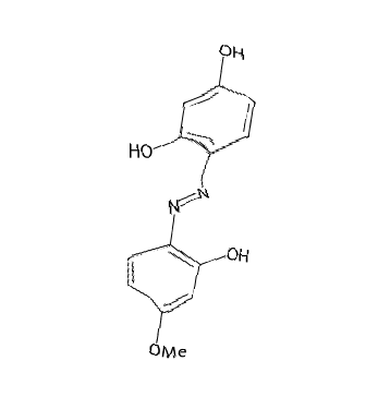 COc1ccc(N=Nc2ccc(O)cc2O)c(O)c1